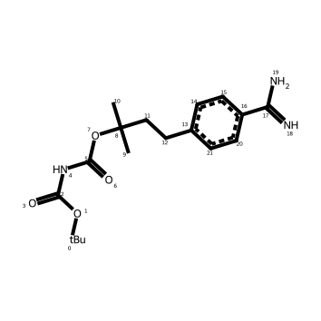 CC(C)(C)OC(=O)NC(=O)OC(C)(C)CCc1ccc(C(=N)N)cc1